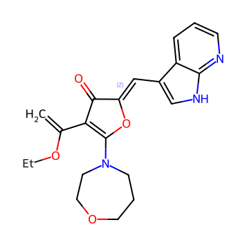 C=C(OCC)C1=C(N2CCCOCC2)O/C(=C\c2c[nH]c3ncccc23)C1=O